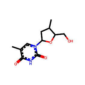 Cc1cn(C2CC(C)C(CO)O2)c(=O)[nH]c1=O